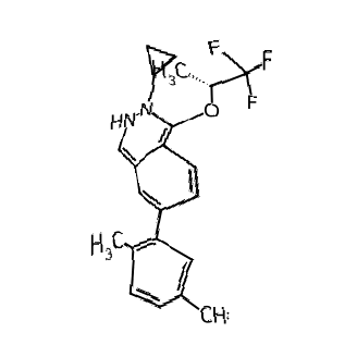 [CH]c1ccc(C)c(-c2ccc3c(c2)=CNN(C2CC2)C=3O[C@H](C)C(F)(F)F)c1